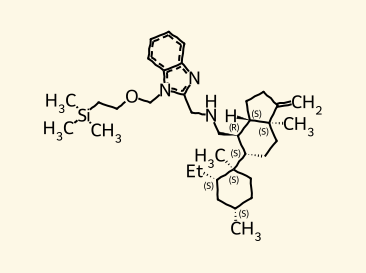 C=C1CC[C@H]2[C@H](CNCc3nc4ccccc4n3COCC[Si](C)(C)C)[C@@H]([C@@]3(C)CC[C@H](C)C[C@@H]3CC)CC[C@]12C